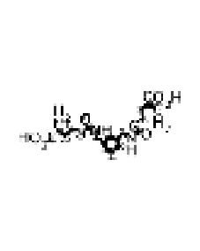 C=C(CCOC(=O)NCc1cccc(CNC(=O)OCCC(=C)C(=O)O)c1)C(=O)O